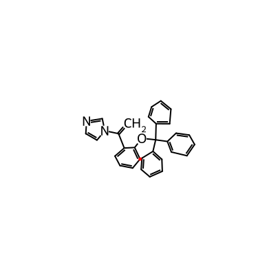 C=C(c1ccccc1OC(c1ccccc1)(c1ccccc1)c1ccccc1)n1ccnc1